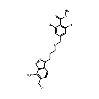 Cc1c(CO)ccc2c1nnn2CCCOCc1cc(Cl)c(C(=O)OC(C)(C)C)c(Cl)c1